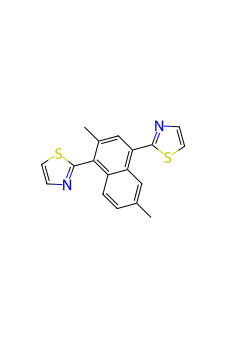 Cc1ccc2c(-c3nccs3)c(C)cc(-c3nccs3)c2c1